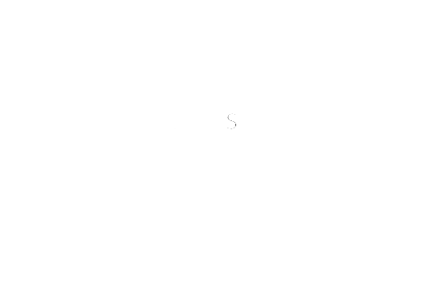 [CH]=CCSc1ccccc1